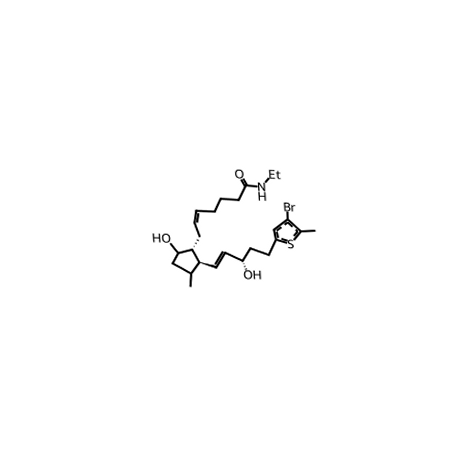 CCNC(=O)CCC/C=C\C[C@H]1C(O)CC(C)[C@@H]1/C=C/[C@@H](O)CCc1cc(Br)c(C)s1